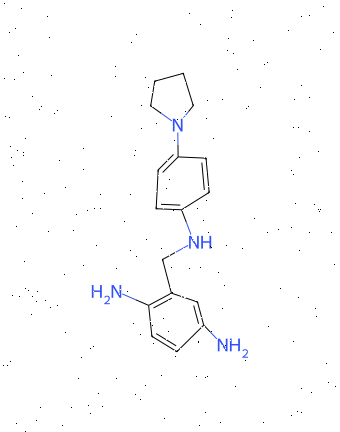 Nc1ccc(N)c(CNc2ccc(N3CCCC3)cc2)c1